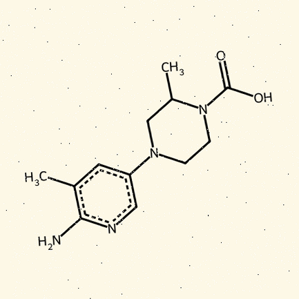 Cc1cc(N2CCN(C(=O)O)C(C)C2)cnc1N